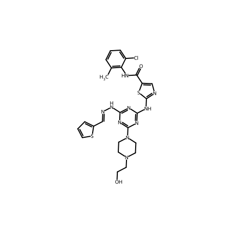 Cc1cccc(Cl)c1NC(=O)c1cnc(Nc2nc(N/N=C/c3cccs3)nc(N3CCN(CCO)CC3)n2)s1